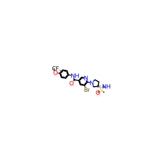 CS(=N)(=O)[C@H]1CCN(c2ncc(C(=O)Nc3ccc(OC(F)(F)F)cc3)cc2Br)C1